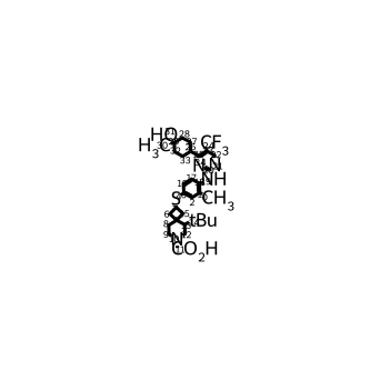 Cc1cc(SC2CC3(CCN(C(=O)O)CC3C(C)(C)C)C2)ccc1Nc1ncc(C(F)(F)F)c(C2CCC(C)(O)CC2)n1